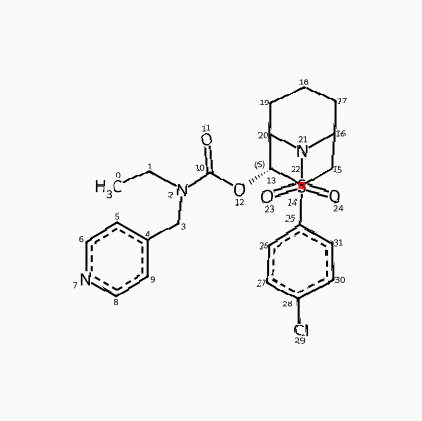 CCN(Cc1ccncc1)C(=O)O[C@H]1CCC2CCCC1N2S(=O)(=O)c1ccc(Cl)cc1